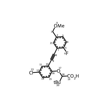 COCc1ccc(F)c(C#Cc2cc(Cl)ccc2OC(C(=O)O)C(C)(C)C)c1